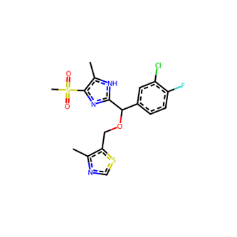 Cc1ncsc1COC(c1ccc(F)c(Cl)c1)c1nc(S(C)(=O)=O)c(C)[nH]1